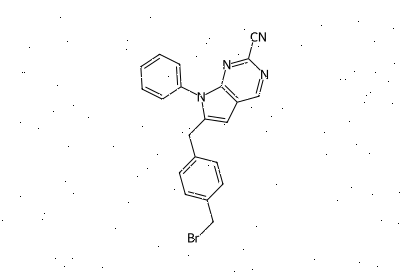 N#Cc1ncc2cc(Cc3ccc(CBr)cc3)n(-c3ccccc3)c2n1